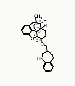 CN1CC[C@]23c4c5cccc4O[C@H]2[C@H](OCC2CNc4ccccc4CO2)CC[C@H]3[C@H]1C5